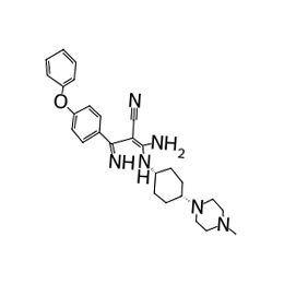 CN1CCN([C@H]2CC[C@@H](N/C(N)=C(/C#N)C(=N)c3ccc(Oc4ccccc4)cc3)CC2)CC1